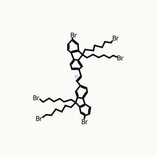 BrCCCCCCC1(CCCCCCBr)c2cc(Br)ccc2-c2ccc(/C=C/c3ccc4c(c3)C(CCCCCCBr)(CCCCCCBr)c3cc(Br)ccc3-4)cc21